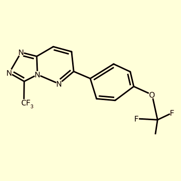 CC(F)(F)Oc1ccc(-c2ccc3nnc(C(F)(F)F)n3n2)cc1